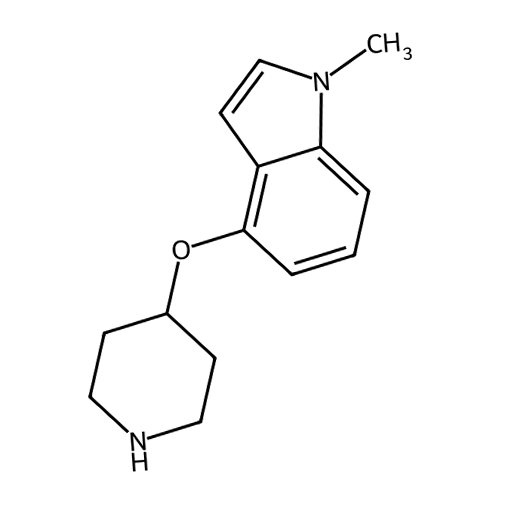 Cn1ccc2c(OC3CCNCC3)cccc21